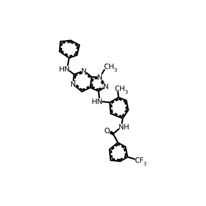 Cc1ccc(NC(=O)c2cccc(C(F)(F)F)c2)cc1Nc1nn(C)c2nc(Nc3ccccc3)ncc12